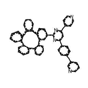 c1cncc(-c2ccc(-c3cc(-c4ccncc4)nc(-c4ccc5c6ccccc6c6ccccc6c6ccccc6c6ccccc6c5c4)n3)cc2)c1